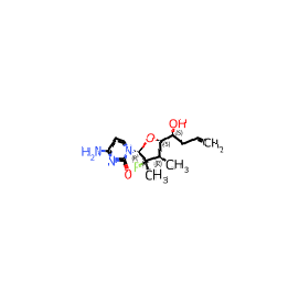 C=CC[C@H](O)[C@H]1O[C@@H](n2ccc(N)nc2=O)[C@@](C)(F)[C@@H]1C